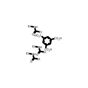 CCNC(=O)CC.CCNC(=O)CC.CCNC(=O)CC.O=C(O)c1cc(C(=O)O)cc(C(=O)O)c1